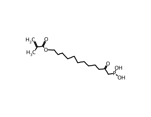 C=C(C)C(=O)OCCCCCCCCCCC(=O)CP(O)O